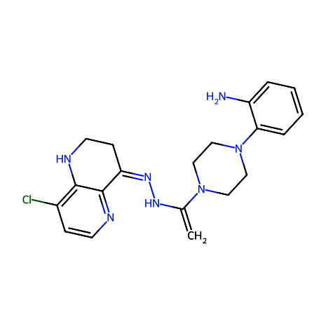 C=C(N/N=C1/CCNc2c(Cl)ccnc21)N1CCN(c2ccccc2N)CC1